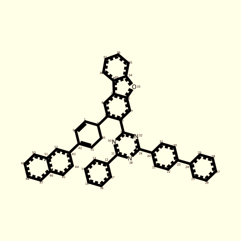 C1=CC(c2cc3c(cc2-c2nc(-c4ccccc4)nc(-c4ccc(-c5ccccc5)cc4)n2)oc2ccccc23)CC=C1c1ccc2ccccc2c1